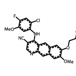 COc1cc(Nc2c(C#N)cnc3cc4cc(OC)c(OCCCl)cc4cc23)c(Cl)cc1F